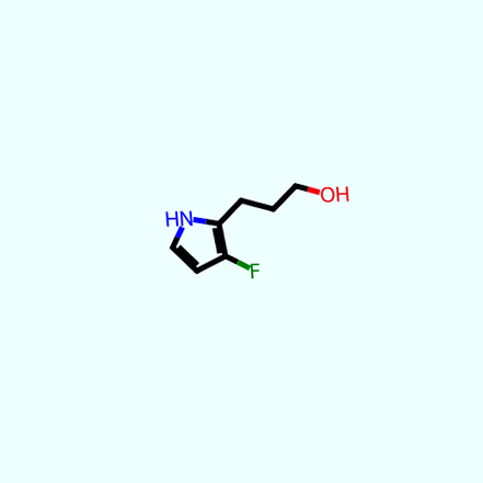 OCCCc1[nH]ccc1F